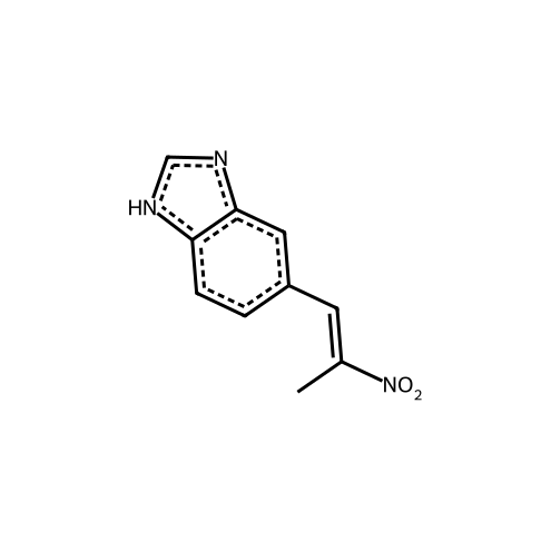 C/C(=C\c1ccc2[nH]cnc2c1)[N+](=O)[O-]